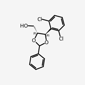 OC[C@H]1OC(c2ccccc2)O[C@@H]1c1c(Cl)cccc1Cl